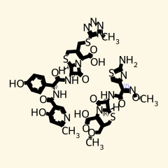 COCC1=C(C(=O)O)N2C(=O)[C@@H](NC(=O)/C(=N\OC)c3csc(N)n3)[C@H]2SC1.Cc1cc(O)c(C(=O)N[C@@H](C(=O)N[C@@H]2C(=O)N3C(C(=O)O)=C(CSc4nnnn4C)CS[C@H]23)c2ccc(O)cc2)cn1